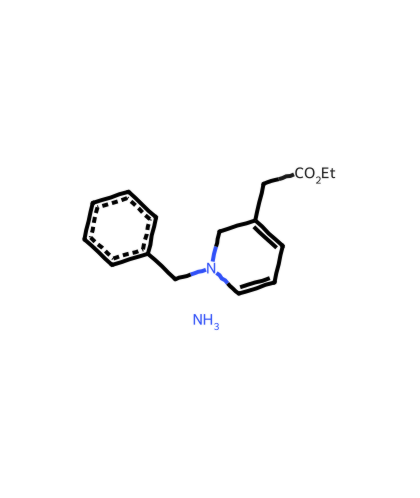 CCOC(=O)CC1=CC=CN(Cc2ccccc2)C1.N